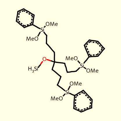 CO[Si](CCCC(CCC[Si](OC)(OC)c1ccccc1)(CCC[Si](OC)(OC)c1ccccc1)O[SiH3])(OC)c1ccccc1